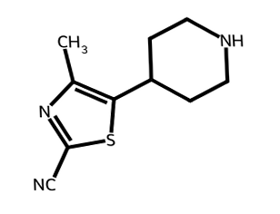 Cc1nc(C#N)sc1C1CCNCC1